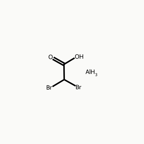 O=C(O)C(Br)Br.[AlH3]